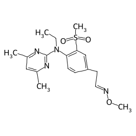 CCN(c1nc(C)cc(C)n1)c1ccc(CC=NOC)cc1S(C)(=O)=O